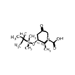 C[C@H]1[C@@H](O[Si](C)(C)C(C)(C)C)CC(=O)CN1C(=O)O